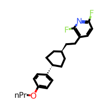 CCCOc1ccc([C@H]2CC[C@H](CCc3ccc(F)nc3F)CC2)cc1